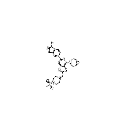 CS(=O)(=O)N1CCN(Cc2nc3nc(-c4ccc5[nH]ncc5c4)nc(N4CCOCC4)c3s2)CC1